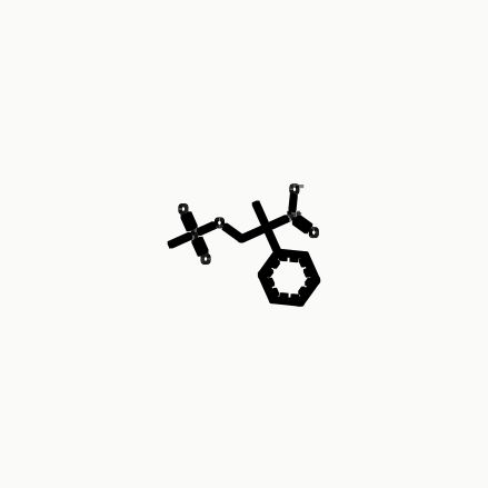 CC(COS(C)(=O)=O)(c1ccccc1)[N+](=O)[O-]